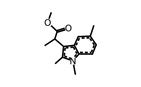 COC(=O)C(C)c1c(C)n(C)c2ccc(C)cc12